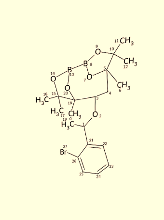 CC(OC1CC2(C)OB(OC2(C)C)B2OC(C)(C)C1(C)O2)c1ccccc1Br